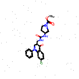 CC(C)(C)OC(=O)N1CCC(NC(=O)NCc2cn(-c3ccccc3)c3cc(Cl)ccc3c2=O)C1